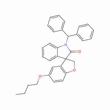 CCCCOc1ccc2c(c1)C1(CO2)C(=O)N(C(c2ccccc2)c2ccccc2)c2ccccc21